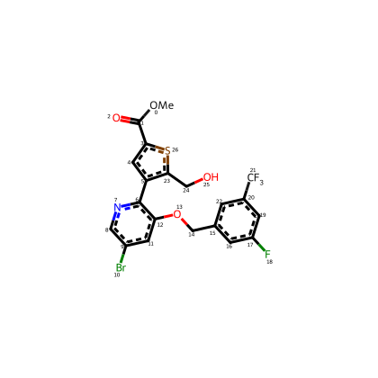 COC(=O)c1cc(-c2ncc(Br)cc2OCc2cc(F)cc(C(F)(F)F)c2)c(CO)s1